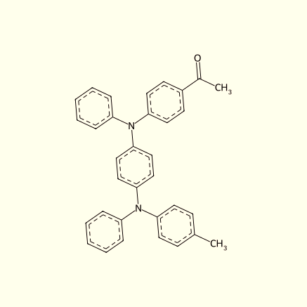 CC(=O)c1ccc(N(c2ccccc2)c2ccc(N(c3ccccc3)c3ccc(C)cc3)cc2)cc1